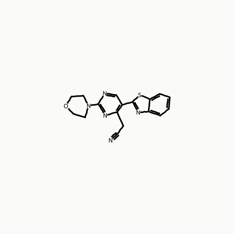 N#CCc1nc(N2CCOCC2)ncc1-c1nc2ccccc2s1